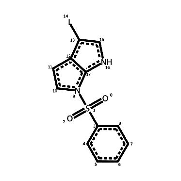 O=S(=O)(c1ccccc1)n1ccc2c(I)c[nH]c21